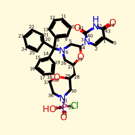 Cc1cn([C@H]2CN(C(c3ccccc3)(c3ccccc3)c3ccccc3)C[C@H](CC3CN(P(=O)(O)Cl)CCO3)O2)c(=O)[nH]c1=O